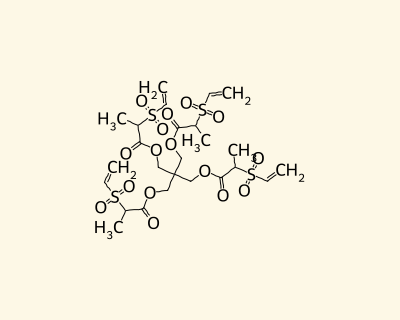 C=CS(=O)(=O)C(C)C(=O)OCC(COC(=O)C(C)S(=O)(=O)C=C)(COC(=O)C(C)S(=O)(=O)C=C)COC(=O)C(C)S(=O)(=O)C=C